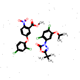 CC(C)Oc1cc(-n2nc(C(C)(C)C)oc2=O)c(Cl)cc1Cl.COC(=O)c1cc(Oc2ccc(Cl)cc2Cl)ccc1[N+](=O)[O-]